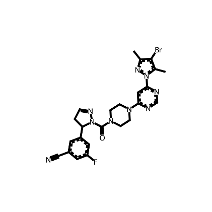 Cc1nn(-c2cc(N3CCN(C(=O)N4N=CCC4c4cc(F)cc(C#N)c4)CC3)ncn2)c(C)c1Br